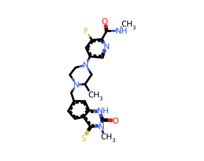 CNC(=O)c1ncc(N2CCN(Cc3ccc4c(=S)n(C)c(=O)[nH]c4c3)C(C)C2)cc1F